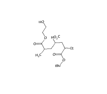 CCC(CC(CC(C)C(=O)OCCO)C(=O)O)C(=O)OC(C)(C)C